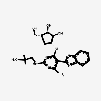 Cc1nc(NCC(C)(F)F)nc(N[C@@H]2C[C@H](CO)[C@@H](O)[C@H]2O)c1-c1nc2ccccc2s1